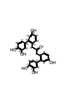 O=C(Cc1ccc(O)cc1-c1ccc(O)c(O)c1)Cc1ccc(O)cc1-c1ccc(O)c(O)c1